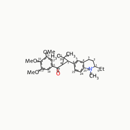 CCC1CCc2cc(C3C(C(=O)c4cc(OC)c(OC)c(OC)c4)C3(C)C)ccc2N1C